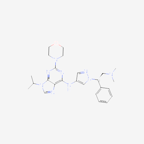 CC(C)n1cnc2c(Nc3cnn([C@@H](CN(C)C)c4ccccc4)c3)nc(N3CCOCC3)nc21